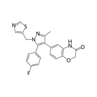 Cc1nn(Cc2cncs2)c(-c2ccc(F)cc2)c1-c1ccc2c(c1)NC(=O)CO2